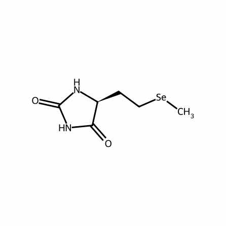 C[Se]CC[C@@H]1NC(=O)NC1=O